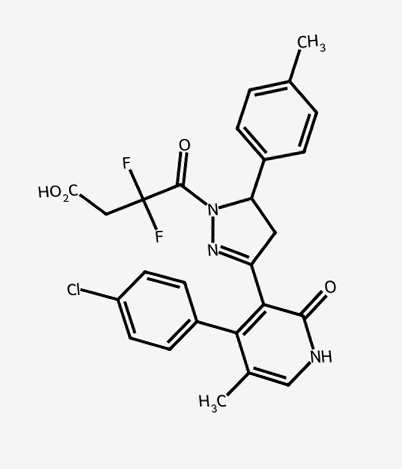 Cc1ccc(C2CC(c3c(-c4ccc(Cl)cc4)c(C)c[nH]c3=O)=NN2C(=O)C(F)(F)CC(=O)O)cc1